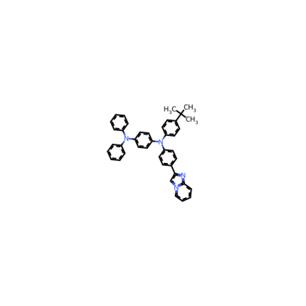 CC(C)(C)c1ccc(N(c2ccc(-c3cn4ccccc4n3)cc2)c2ccc(N(c3ccccc3)c3ccccc3)cc2)cc1